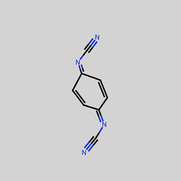 N#CN=C1C=CC(=NC#N)C=C1